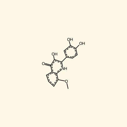 COc1cccc2c(=O)c(O)c(-c3ccc(O)c(O)c3)[nH]c12